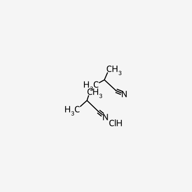 CC(C)C#N.CC(C)C#N.Cl